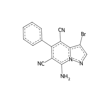 N#Cc1c(-c2ccccc2)c(C#N)c2c(Br)cnn2c1N